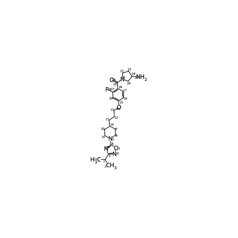 CC(C)c1noc(N2CCC(CCCOc3ccc(C(=O)N4CCC(N)C4)c(F)c3)CC2)n1